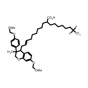 COCOc1ccc(C2(C)COc3cc(OCOC)ccc3C2C/C=C/CCCCCCC(CCCCCCC(F)(F)C(F)(F)F)C(=O)O)cc1